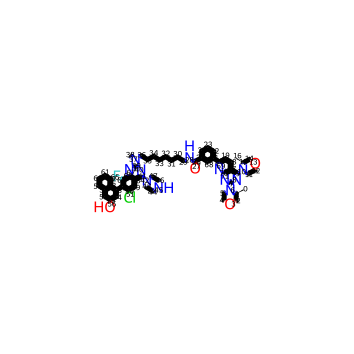 C[C@@H]1COCCN1c1nc(N2CCOC[C@H]2C)c2ccc(-c3cccc(C(=O)NCCCCCCCCN(C)c4nc(N5CCNCC5)c5cc(Cl)c(-c6cc(O)cc7ccccc67)c(F)c5n4)c3)nc2n1